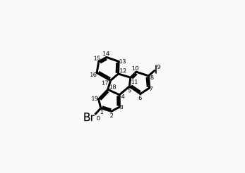 Brc1ccc2c3ccc(I)cc3c3ccccc3c2c1